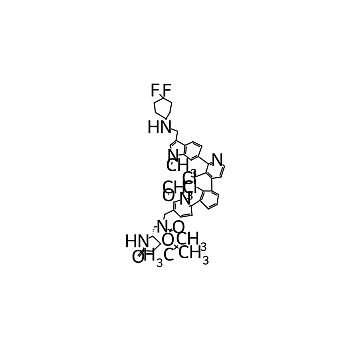 COc1nc(-c2cccc(-c3ccnc(-c4ccc5c(CNC6CCC(F)(F)CC6)cn(C)c5c4)c3Cl)c2Cl)ccc1CN(C[C@@H]1CCC(=O)N1)C(=O)OC(C)(C)C